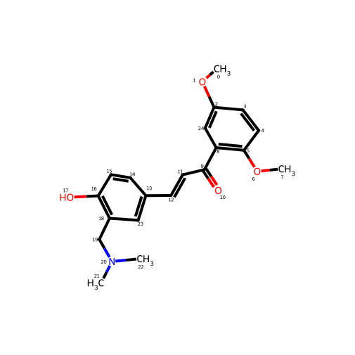 COc1ccc(OC)c(C(=O)C=Cc2ccc(O)c(CN(C)C)c2)c1